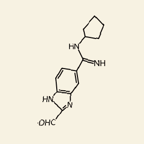 N=C(NC1CCCC1)c1ccc2[nH]c([C]=O)nc2c1